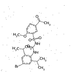 COc1ccc(C(C)=O)cc1S(=O)(=O)NC(=O)Nc1c(C(C)C)cc(Br)cc1C(C)C